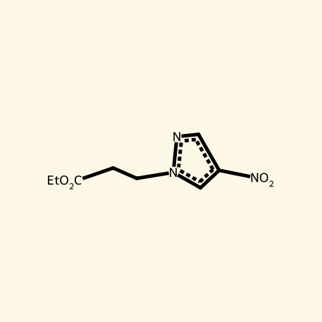 CCOC(=O)CCn1cc([N+](=O)[O-])cn1